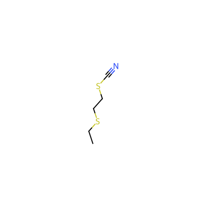 CCSCCSC#N